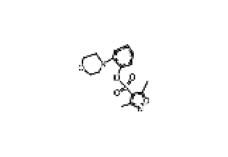 Cc1noc(C)c1S(=O)(=O)Oc1ccccc1N1CCOCC1